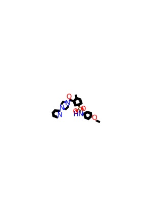 CCOc1ccc(NS(=O)(=O)c2ccc(C)c(C(=O)N3CCN(c4ccccn4)CC3)c2)cc1